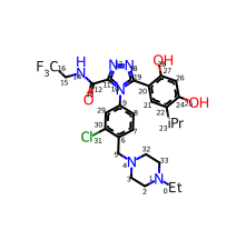 CCN1CCN(Cc2ccc(-n3c(C(=O)NCC(F)(F)F)nnc3-c3cc(C(C)C)c(O)cc3O)cc2Cl)CC1